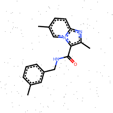 Cc1cccc(CNC(=O)c2c(C)nc3ccc(C)cn23)c1